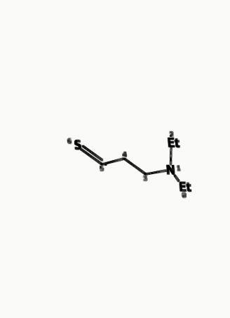 CCN(CC)CC[C]=S